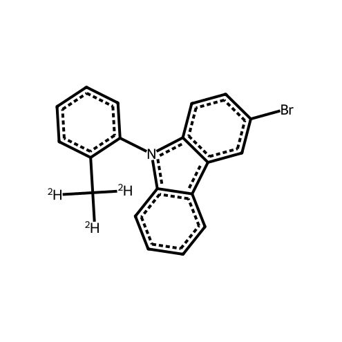 [2H]C([2H])([2H])c1ccccc1-n1c2ccccc2c2cc(Br)ccc21